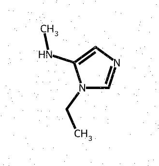 CCn1cncc1NC